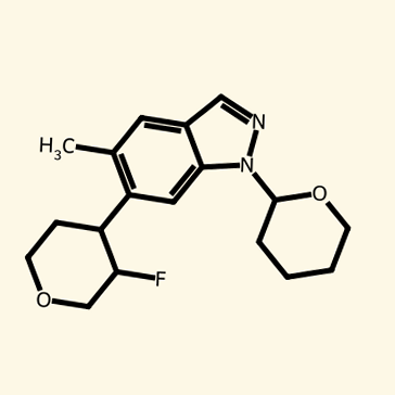 Cc1cc2cnn(C3CCCCO3)c2cc1C1CCOCC1F